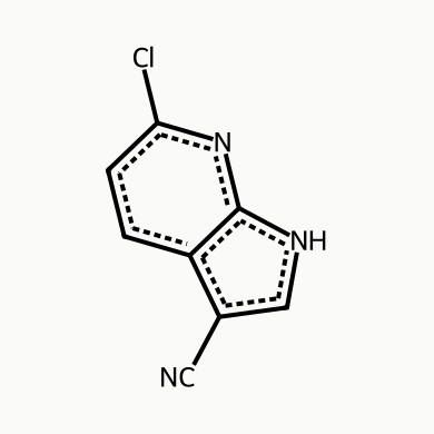 N#Cc1c[nH]c2nc(Cl)ccc12